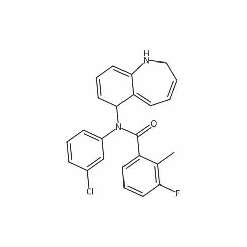 Cc1c(F)cccc1C(=O)N(c1cccc(Cl)c1)C1C=CC=C2NCC=CC=C21